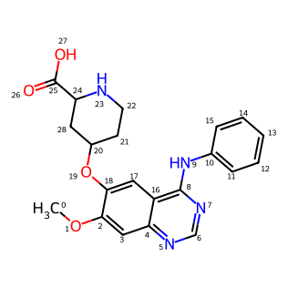 COc1cc2ncnc(Nc3ccccc3)c2cc1OC1CCNC(C(=O)O)C1